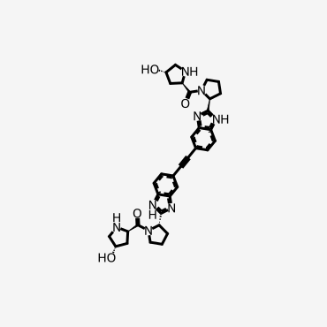 O=C([C@H]1C[C@H](O)CN1)N1CCC[C@H]1c1nc2cc(C#Cc3ccc4[nH]c([C@@H]5CCCN5C(=O)[C@H]5C[C@H](O)CN5)nc4c3)ccc2[nH]1